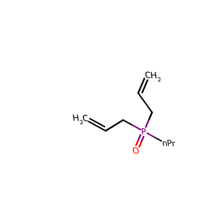 [CH2]CCP(=O)(CC=C)CC=C